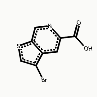 O=C(O)c1cc2c(Br)csc2cn1